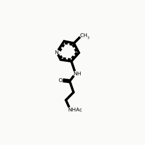 CC(=O)NCCC(=O)Nc1cncc(C)c1